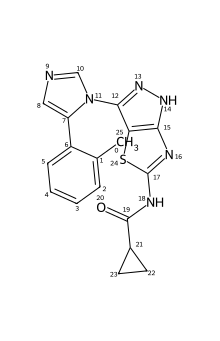 Cc1ccccc1-c1cncn1-c1n[nH]c2nc(NC(=O)C3CC3)sc12